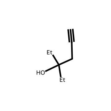 C#CCC(O)(CC)CC